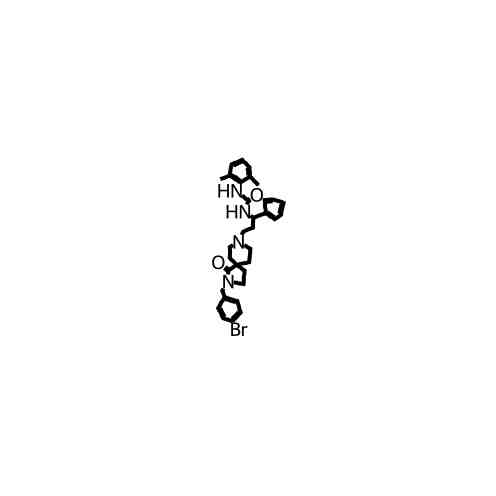 Cc1cccc(C)c1NC(=O)NC(CCN1CCC2(CC1)CCN(Cc1ccc(Br)cc1)C2=O)c1ccccc1